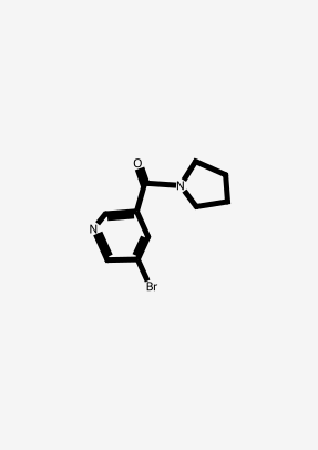 O=C(c1cncc(Br)c1)N1CCCC1